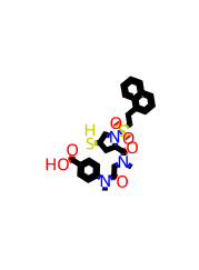 CN(CC(=O)N(C)c1ccc(C(=O)O)cc1)C(=O)C1CC(S)CN1S(=O)(=O)CCc1cccc2ccccc12